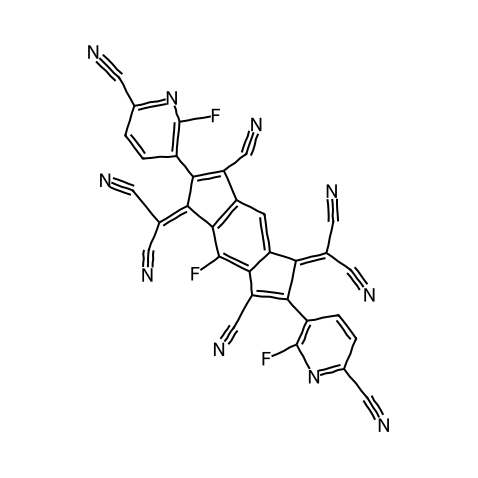 N#CC(C#N)=C1C(c2ccc(C#N)nc2F)=C(C#N)c2c1cc1c(c2F)C(=C(C#N)C#N)C(c2ccc(C#N)nc2F)=C1C#N